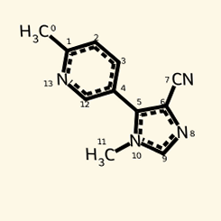 Cc1ccc(-c2c(C#N)ncn2C)cn1